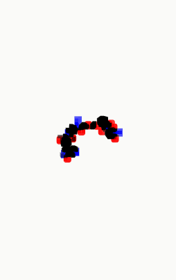 COc1cc(-c2cn(C)c(=O)c3cnccc23)cc(OC)c1CN1CC2(CC(NC(=O)CCOCCOc3cccc4c3C(=O)N(C3CCC(=O)NC3=O)C4=O)C2)C1